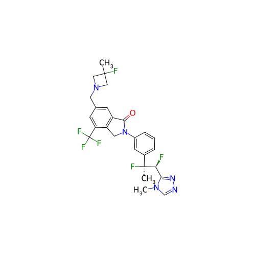 Cn1cnnc1[C@H](F)[C@@](C)(F)c1cccc(N2Cc3c(cc(CN4CC(C)(F)C4)cc3C(F)(F)F)C2=O)c1